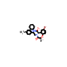 CC(C)C1Oc2ccc(Br)cc2C(C(=O)NC2CCCCC2)N(CCc2ccc([N+](=O)[O-])cc2)C1=O